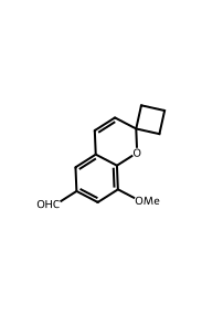 COc1cc(C=O)cc2c1OC1(C=C2)CCC1